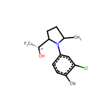 CC1CCC([C@H](O)C(F)(F)F)N1c1ccc(C#N)c(Cl)c1